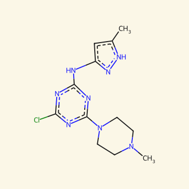 Cc1cc(Nc2nc(Cl)nc(N3CCN(C)CC3)n2)n[nH]1